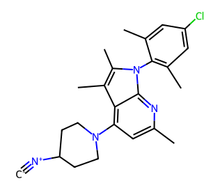 [C-]#[N+]C1CCN(c2cc(C)nc3c2c(C)c(C)n3-c2c(C)cc(Cl)cc2C)CC1